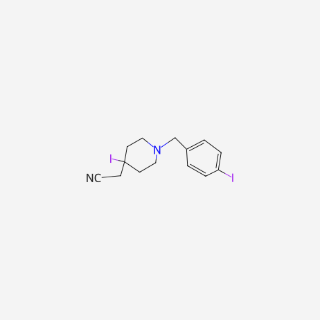 N#CCC1(I)CCN(Cc2ccc(I)cc2)CC1